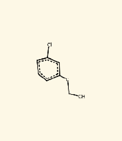 OCOc1cccc(Cl)c1